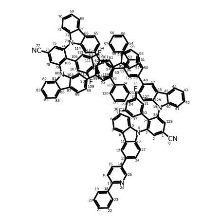 N#Cc1cc(-n2c3ccccc3c3cc(-c4ccc(-c5ccccc5)nc4)ccc32)c(-c2cc(F)cc(F)c2)c(-n2c3ccccc3c3cc(-c4cnc(-c5ccccc5)c(-c5cc(-c6ccc7c8ccccc8n(-c8cc(C#N)cc(-n9c%10ccccc%10c%10ccc(-c%11ccc(-c%12ccccc%12)nc%11)cc%109)c8-c8cc(F)cc(F)c8)c7c6)cnc5-c5ccccc5)c4)ccc32)c1